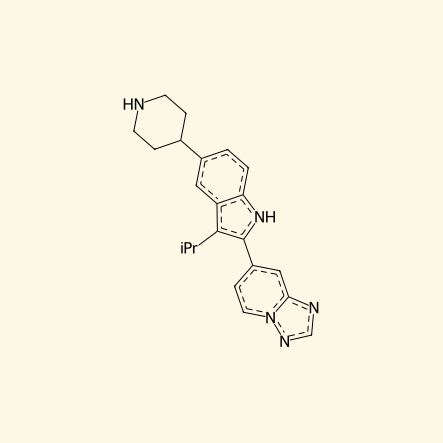 CC(C)c1c(-c2ccn3ncnc3c2)[nH]c2ccc(C3CCNCC3)cc12